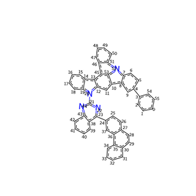 c1ccc(-c2ccc3c(c2)c2cc4c(c5ccccc5n4-c4nc(-c5ccc6ccc7ccccc7c6c5)c5ccccc5n4)c4c5ccccc5n3c24)cc1